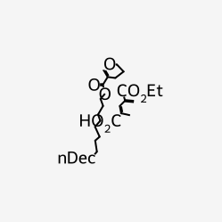 C=C(C=C(C)C(=O)O)C(=O)OCC.CCCCCCCCCCCCCCCCCCOC(=O)C1=COCCC1